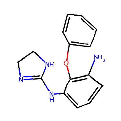 Nc1cccc(NC2=NCCN2)c1Oc1ccccc1